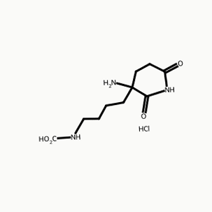 Cl.NC1(CCCCNC(=O)O)CCC(=O)NC1=O